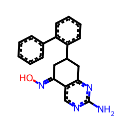 Nc1ncc2c(n1)CC(c1ccccc1-c1ccccc1)CC2=NO